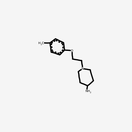 Cc1ccc(OCCN2CCC(N)CC2)cc1